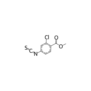 COC(=O)c1ccc(N=C=S)cc1Cl